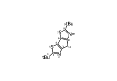 CC(C)(C)c1nc2c(s1)-c1sc(C(C)(C)C)nc1C2